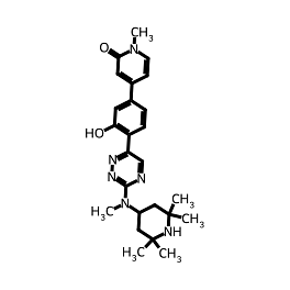 CN(c1ncc(-c2ccc(-c3ccn(C)c(=O)c3)cc2O)nn1)C1CC(C)(C)NC(C)(C)C1